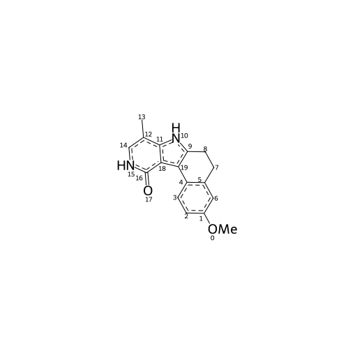 COc1ccc2c(c1)CCc1[nH]c3c(C)c[nH]c(=O)c3c1-2